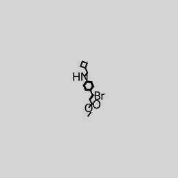 CCOC(=O)C=C(Br)c1ccc(NCC2CCC2)cc1